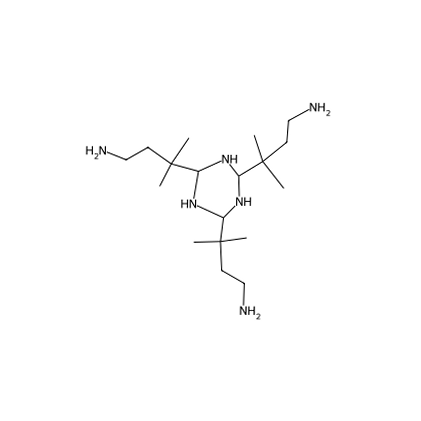 CC(C)(CCN)C1NC(C(C)(C)CCN)NC(C(C)(C)CCN)N1